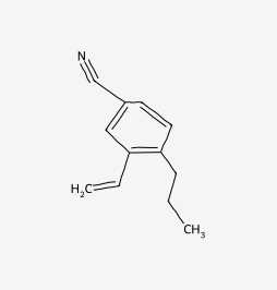 C=Cc1cc(C#N)ccc1CCC